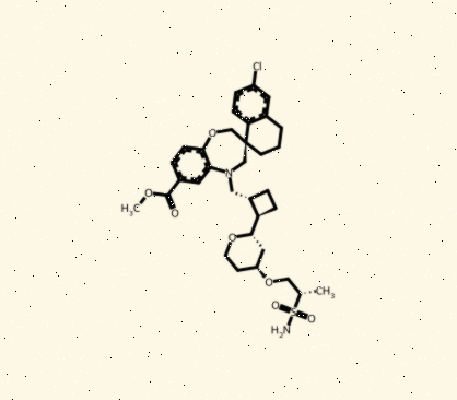 COC(=O)c1ccc2c(c1)N(C[C@@H]1CC[C@H]1[C@@H]1C[C@@H](OC[C@H](C)S(N)(=O)=O)CCO1)C[C@@]1(CCCc3cc(Cl)ccc31)CO2